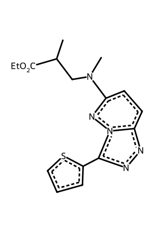 CCOC(=O)C(C)CN(C)c1ccc2nnc(-c3cccs3)n2n1